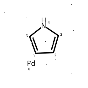 [Pd].c1cc[nH]c1